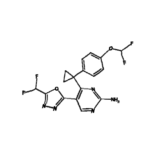 Nc1ncc(-c2nnc(C(F)F)o2)c(C2(c3ccc(OC(F)F)cc3)CC2)n1